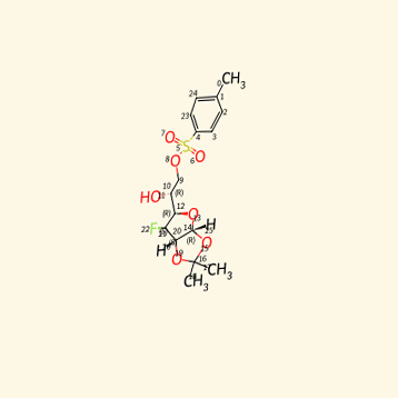 Cc1ccc(S(=O)(=O)OC[C@@H](O)[C@H]2O[C@@H]3OC(C)(C)O[C@@H]3[C@H]2F)cc1